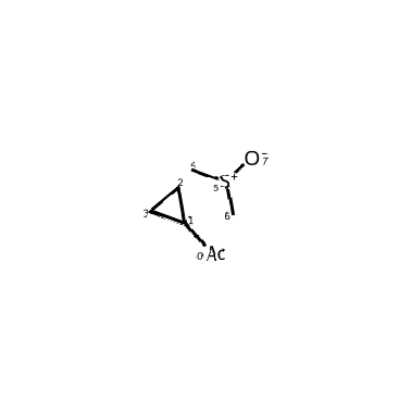 CC(=O)C1CC1.C[S+](C)[O-]